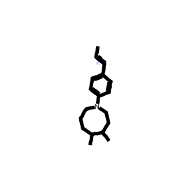 C/C=C/c1ccc(N2CCCC(C)C(C)CC2)cc1